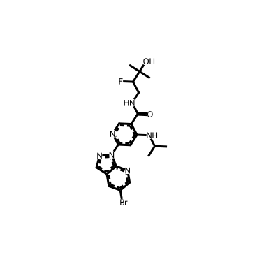 CC(C)Nc1cc(-n2ncc3cc(Br)cnc32)ncc1C(=O)NCC(F)C(C)(C)O